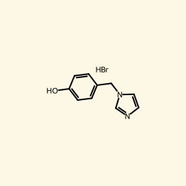 Br.Oc1ccc(Cn2ccnc2)cc1